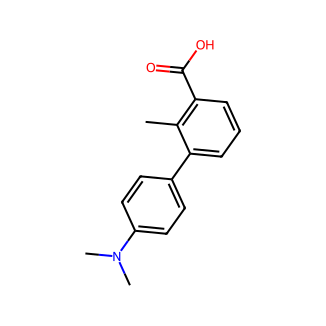 Cc1c(C(=O)O)cccc1-c1ccc(N(C)C)cc1